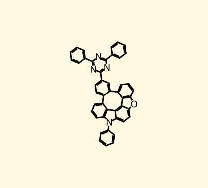 c1ccc(-c2nc(-c3ccccc3)nc(-c3ccc4c(c3)c3cccc5oc6ccc7c(c6c53)c3c4cccc3n7-c3ccccc3)n2)cc1